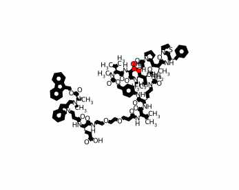 CC[C@H](C)[C@@H]([C@@H](CC(=O)N1CCC[C@H]1[C@H](OC)[C@@H](C)C(=O)N[C@@H](Cc1ccccc1)c1nccs1)OC)N(C)C(=O)[C@@H](NC(=O)[C@H](C(C)C)N(C)C(=O)OCc1ccc(NC(=O)[C@H](CCCNC(N)=O)NC(=O)[C@@H](NC(=O)CCOCCOCCNC(=O)[C@H](CCC(=O)O)NC(=O)CCn2c(CN(C)N(C)C(=O)OCC3c4ccccc4-c4ccccc43)cc3ccccc32)C(C)C)cc1)C(C)C